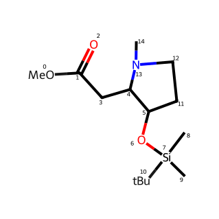 COC(=O)CC1C(O[Si](C)(C)C(C)(C)C)CCN1C